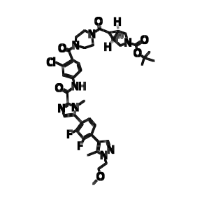 COCCn1ncc(-c2ccc(-c3cnc(C(=O)Nc4ccc(C(=O)N5CCN(C(=O)C6[C@H]7CN(C(=O)OC(C)(C)C)C[C@@H]67)CC5)c(Cl)c4)n3C)c(F)c2F)c1C